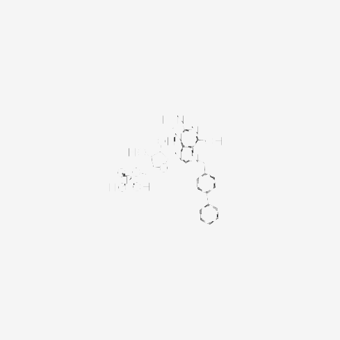 Nc1nc(O)c2c(n1)n([C@@H]1O[C@H](COP(=O)(O)O)[C@@H](O)[C@H]1O)c[n+]2Cc1ccc(-c2ccccc2)cc1